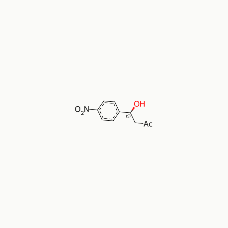 CC(=O)C[C@H](O)c1ccc([N+](=O)[O-])cc1